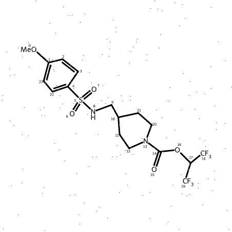 COc1ccc(S(=O)(=O)NCC2CCN(C(=O)OC(C(F)(F)F)C(F)(F)F)CC2)cc1